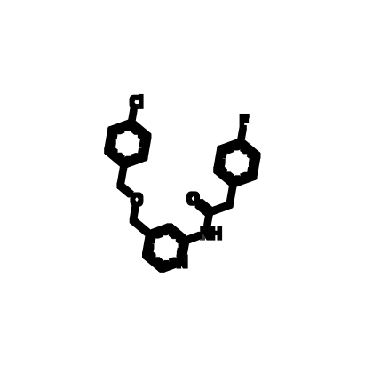 O=C(Cc1ccc(F)cc1)Nc1cc(COCc2ccc(Cl)cc2)ccn1